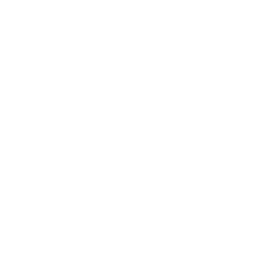 CC(C)=CCCC=C(C)[CH2][Ru]([Cl])[Cl]